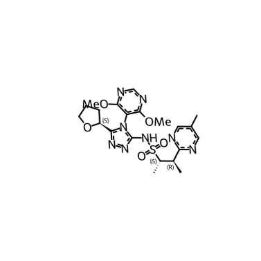 COc1ncnc(OC)c1-n1c(NS(=O)(=O)[C@@H](C)[C@H](C)c2ncc(C)cn2)nnc1[C@@H]1CCCO1